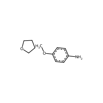 C1CCOC1.COc1ccc(N)cc1